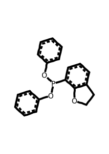 c1ccc(OP(Oc2ccccc2)c2cccc3c2OCC3)cc1